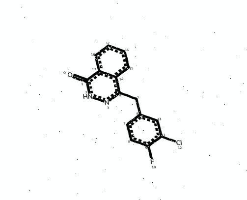 O=c1[nH]nc(Cc2ccc(F)c(Cl)c2)c2ccccc12